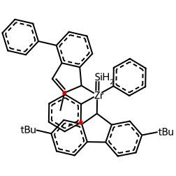 CC1=Cc2c(-c3ccccc3)cccc2[CH]1[Zr](=[SiH2])([c]1ccccc1)([c]1ccccc1)[CH]1c2cc(C(C)(C)C)ccc2-c2ccc(C(C)(C)C)cc21